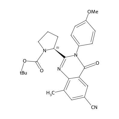 COc1ccc(-n2c([C@@H]3CCCN3C(=O)OC(C)(C)C)nc3c(C)cc(C#N)cc3c2=O)cc1